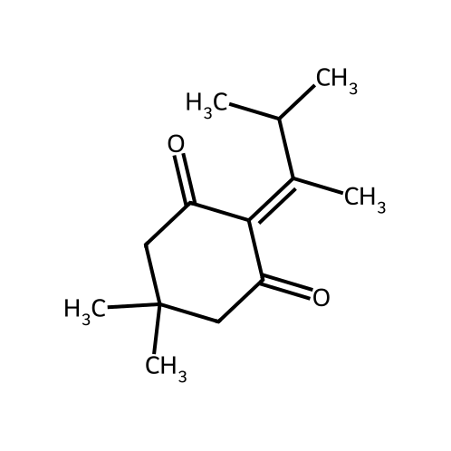 CC(=C1C(=O)CC(C)(C)CC1=O)C(C)C